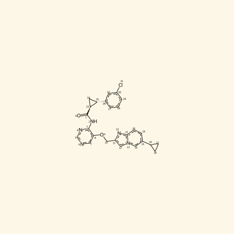 O=C(Nc1ncncc1OCc1cn2cc(C3CC3)ccc2n1)[C@H]1C[C@@H]1c1cccc(Cl)c1